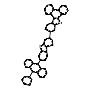 c1ccc(-c2c3ccccc3c(-c3ccc4c(c3)sc3cc(-c5ccc6c(c5)oc5c7ccccc7c7ccccc7c65)ccc34)c3ccccc23)cc1